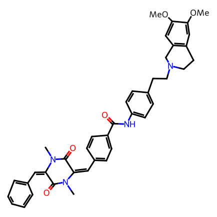 COc1cc2c(cc1OC)CN(CCc1ccc(NC(=O)c3ccc(C=c4c(=O)n(C)c(=Cc5ccccc5)c(=O)n4C)cc3)cc1)CC2